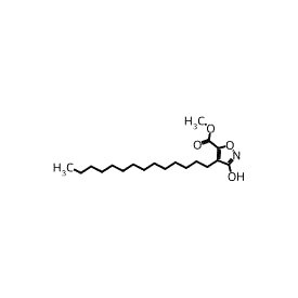 CCCCCCCCCCCCCCc1c(O)noc1C(=O)OC